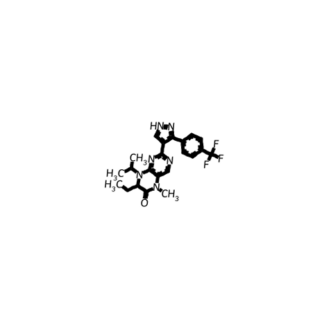 CCC1C(=O)N(C)c2cnc(-c3c[nH]nc3-c3ccc(C(F)(F)F)cc3)nc2N1C(C)C